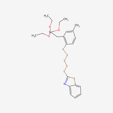 CCO[Si](Cc1cc(C)ccc1SSSSSc1nc2ccccc2s1)(OCC)OCC